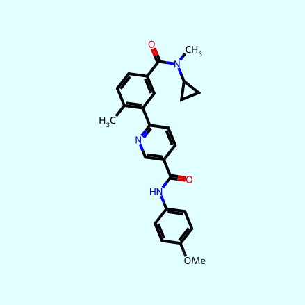 COc1ccc(NC(=O)c2ccc(-c3cc(C(=O)N(C)C4CC4)ccc3C)nc2)cc1